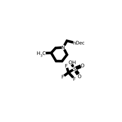 CCCCCCCCCCCN1CCCC(C)C1.O=S(=O)(O)C(F)(F)F